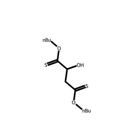 CCCCOC(=S)CC(O)C(=S)OCCCC